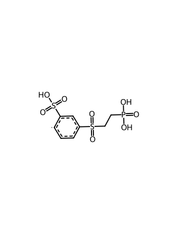 O=P(O)(O)CCS(=O)(=O)c1cc[c]c(S(=O)(=O)O)c1